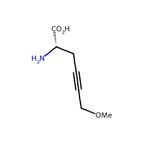 COCC#CC[C@H](N)C(=O)O